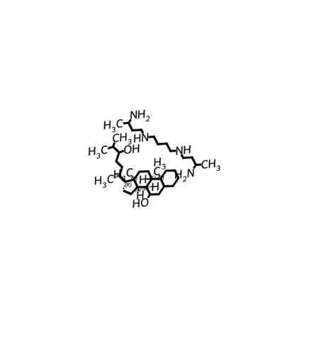 CC(C)C(O)CC[C@@H](C)[C@H]1CC[C@H]2[C@@H]3C(O)CC4CCCC[C@]4(C)[C@H]3CC[C@]12C.CC(N)CCNCCCCNCCC(C)N